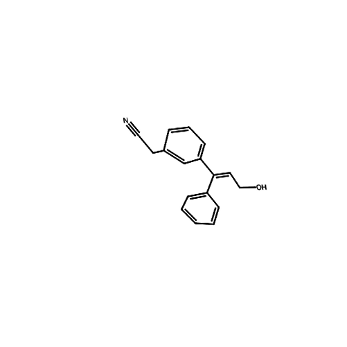 N#CCc1cccc(/C(=C/CO)c2ccccc2)c1